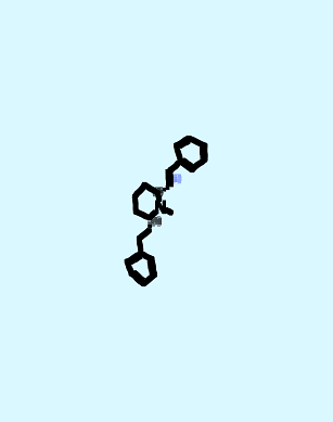 CN1[C@H](CCc2ccccc2)CCC[C@@H]1/C=C/c1ccccc1